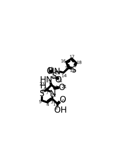 O=C(O)C1=CCS[C@@H]2C(NS(=O)(=O)NCc3cccs3)C(=O)N12